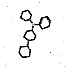 C1=CCCC(N(C2CCCCC2)C2CCC(C3CCCCC3)CC2)=C1